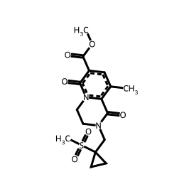 COC(=O)c1cc(C)c2n(c1=O)CCN(CC1(S(C)(=O)=O)CC1)C2=O